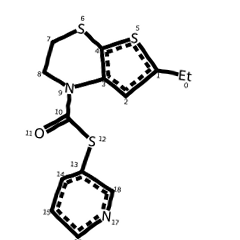 CCc1cc2c(s1)SCCN2C(=O)Sc1cccnc1